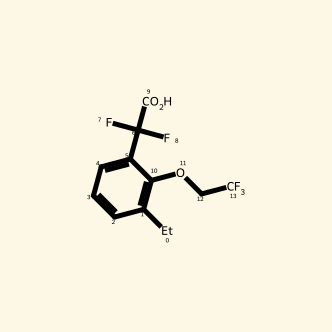 CCc1cccc(C(F)(F)C(=O)O)c1OCC(F)(F)F